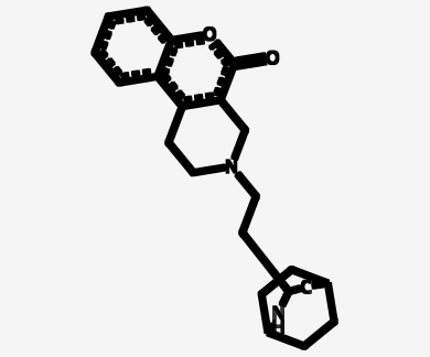 O=c1oc2ccccc2c2c1CN(CCC1CC3CCC(CC3)N1)CC2